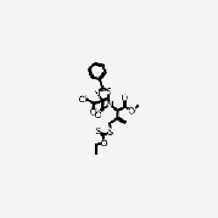 C=C(CSC(=S)OCC)C(C(=O)OC)N1C(=O)C2(C(Cl)Cl)N=C(c3ccccc3)SC12